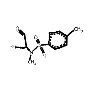 [2H]C([C]=O)N(C)S(=O)(=O)c1ccc(C)cc1